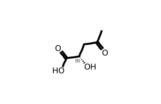 CC(=O)C[C@H](O)C(=O)O